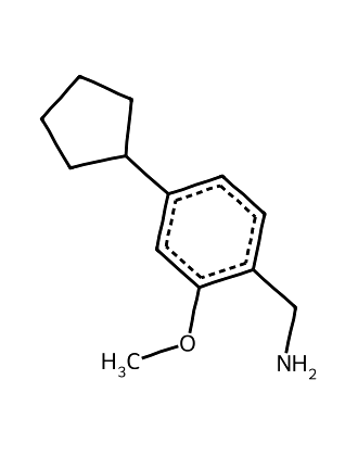 COc1cc(C2CCCC2)ccc1CN